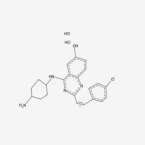 Cl.Cl.NC1CCC(Nc2nc(/C=C\c3ccc(Cl)cc3)nc3ccc(O)cc23)CC1